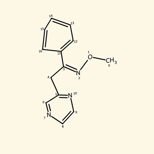 CON=C(Cc1cnccn1)c1ccccc1